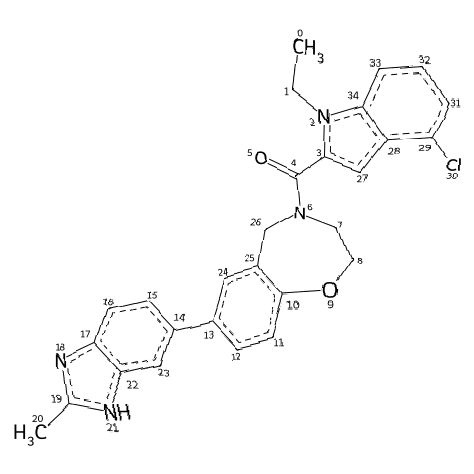 CCn1c(C(=O)N2CCOc3ccc(-c4ccc5nc(C)[nH]c5c4)cc3C2)cc2c(Cl)cccc21